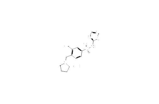 C[C@@H]1CCCN1Cc1ccc(S(=O)(=O)Nc2ncns2)cc1Cl